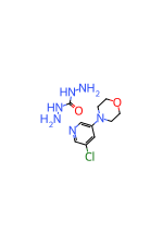 Clc1cncc(N2CCOCC2)c1.NNC(=O)NN